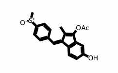 CC(=O)OC1=C(C)C(=Cc2ccc([S+](C)[O-])cc2)c2ccc(O)cc21